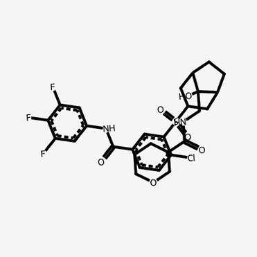 O=C(Nc1cc(F)c(F)c(F)c1)c1ccc(Cl)c(S(=O)(=O)C2CC3CCC(C2)C3(O)CNC(=O)C2CCCOC2)c1